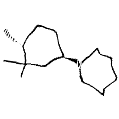 C[C@@H]1CC[C@@H](N2CCCCC2)CC1(C)C